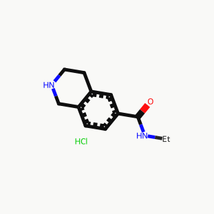 CCNC(=O)c1ccc2c(c1)CCNC2.Cl